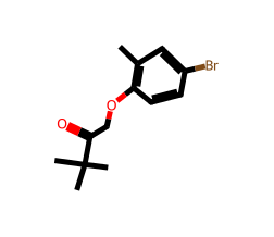 Cc1cc(Br)ccc1OCC(=O)C(C)(C)C